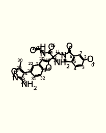 COc1ccc2c(c1)C(=O)N(C[C@@](N)(C(=O)NC=O)c1cc3cc(-c4c(N)noc4C)ccc3o1)C2